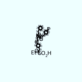 CCOC(Cc1ccc(OCCN(CCCc2ccccc2)C(=O)NCc2ccc(F)cc2)cc1)C(=O)O